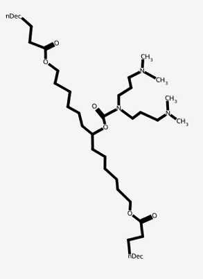 CCCCCCCCCCCCC(=O)OCCCCCCC(CCCCCCOC(=O)CCCCCCCCCCCC)OC(=O)N(CCCN(C)C)CCCN(C)C